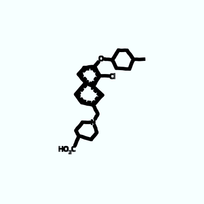 CC1CCC(Oc2ccc3ccc(CN4CCC(C(=O)O)CC4)cc3c2Cl)CC1